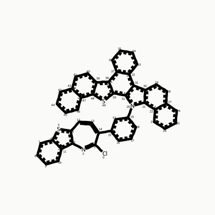 ClC1=Nc2c(sc3ccccc23)C=C=C1c1cccc(-n2c3c4ccccc4ccc3c3c4ccccc4c4c5ccc6ccccc6c5sc4c32)c1